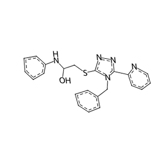 OC(CSc1nnc(-c2ccccn2)n1Cc1ccccc1)Nc1ccccc1